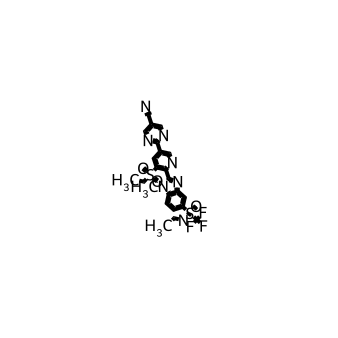 CCN=S(=O)(c1ccc2c(c1)nc(-c1ncc(-c3ncc(C#N)cn3)cc1S(=O)(=O)CC)n2C)C(F)(F)F